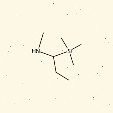 CCC(NC)[Si](C)(C)C